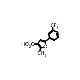 Cc1oc(-c2cccc(C(F)(F)F)c2)cc1C(=O)O